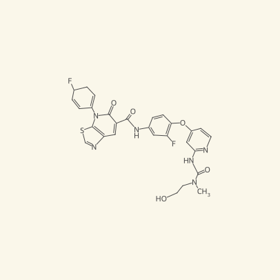 CN(CCO)C(=O)Nc1cc(Oc2ccc(NC(=O)c3cc4ncsc4n(C4=CCC(F)C=C4)c3=O)cc2F)ccn1